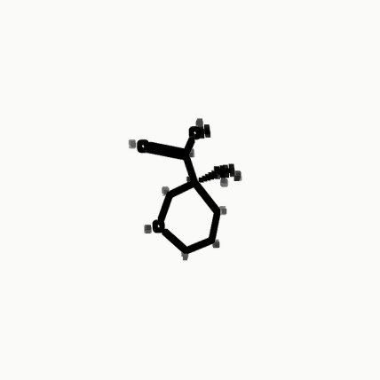 N[C@]1(C(=O)O)CCCOC1